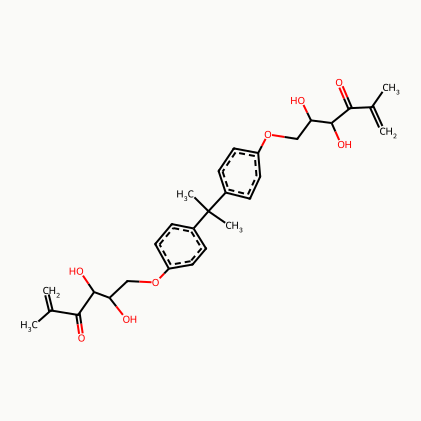 C=C(C)C(=O)C(O)C(O)COc1ccc(C(C)(C)c2ccc(OCC(O)C(O)C(=O)C(=C)C)cc2)cc1